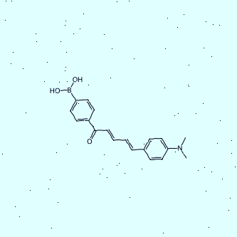 CN(C)c1ccc(C=CC=CC(=O)c2ccc(B(O)O)cc2)cc1